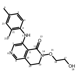 Cc1ccc(Nc2cncc3c2C(=O)N(OCCO)CC3)c(F)c1